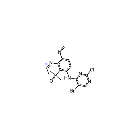 C=Nc1ccc(Nc2nc(Cl)ncc2Br)c(P(C)(C)=O)c1/N=C\C